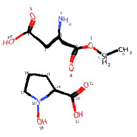 C[SiH2]OC(=O)C(N)CC(=O)O.O=C(O)C1CCCN1O